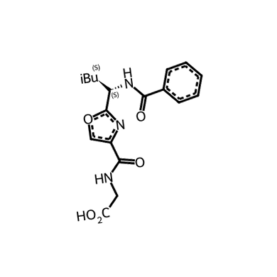 CC[C@H](C)[C@H](NC(=O)c1ccccc1)c1nc(C(=O)NCC(=O)O)co1